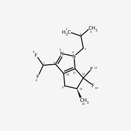 CC(C)Cn1nc(C(F)F)c2c1C(F)(F)[C@@H](C)C2